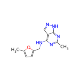 Cc1nc(NCc2ccc(C)o2)c2cn[nH]c2n1